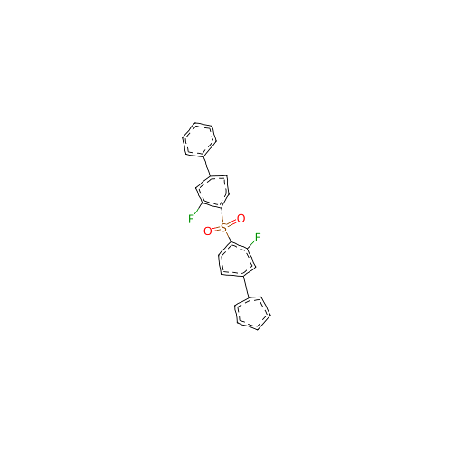 O=S(=O)(c1ccc(-c2ccccc2)cc1F)c1ccc(-c2ccccc2)cc1F